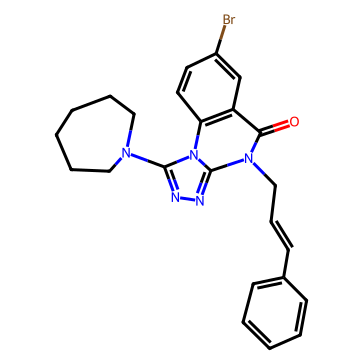 O=c1c2cc(Br)ccc2n2c(N3CCCCCC3)nnc2n1CC=Cc1ccccc1